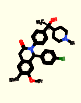 CCN1CCC([C@](C)(O)c2ccc(N3C(=O)Cc4cc(OC)c(OC(C)C)cc4C3c3ccc(Cl)cc3)cc2)CC1